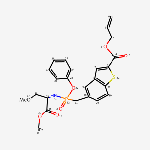 C=CCOC(=O)c1cc2cc(CP(=O)(NC(COC)C(=O)OC(C)C)Oc3ccccc3)ccc2s1